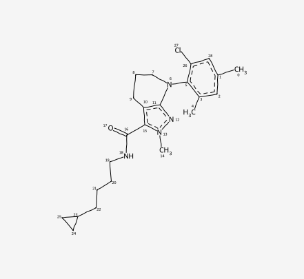 Cc1cc(C)c(N2CCCc3c2nn(C)c3C(=O)NCCCCC2CC2)c(Cl)c1